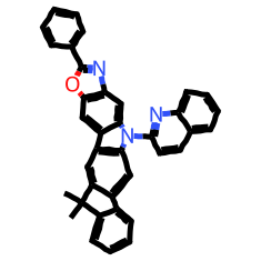 CC1(C)c2ccccc2-c2cc3c(cc21)c1cc2oc(-c4ccccc4)nc2cc1n3-c1ccc2ccccc2n1